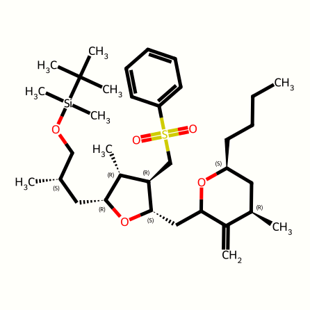 C=C1C(C[C@@H]2O[C@H](C[C@H](C)CO[Si](C)(C)C(C)(C)C)[C@H](C)[C@H]2CS(=O)(=O)c2ccccc2)O[C@@H](CCCC)C[C@H]1C